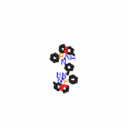 Cc1cccc(C)c1/N=C(/NCc1cccc(/N=C(\Nc2c(C)cccc2C)P(c2ccccc2)c2ccccc2)c1)P(c1ccccc1)c1ccccc1